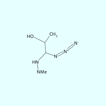 CNNC(N=[N+]=[N-])C(C)O